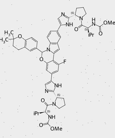 COC(=O)N[C@H](C(=O)N1CCC[C@H]1c1ncc(-c2cc(F)c3c(c2)OC(c2ccc4c(c2)CCC(C)(C)O4)n2c-3cc3cc(-c4cnc([C@@H]5CCCN5C(=O)[C@@H](NC(=O)OC)C(C)C)[nH]4)ccc32)[nH]1)C(C)C